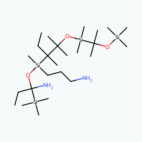 CCC(N)(O[Si](C)(CCCN)C(C)(CC)C(C)(C)O[Si](C)(C)C(C)(C)O[Si](C)(C)C)[Si](C)(C)C